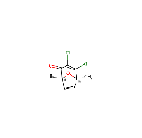 C[C@]12C=C[C@H](O1)C(=O)C(Cl)=C2Cl